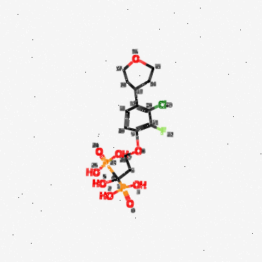 O=P(O)(O)C(O)(CCOc1ccc(C2CCOCC2)c(Cl)c1F)P(=O)(O)O